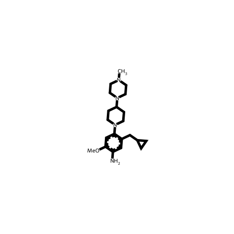 COc1cc(N2CCC(N3CCN(C)CC3)CC2)c(CC2CC2)cc1N